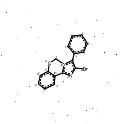 Brc1nc2n(c1-c1ccccc1)COc1ccccc1-2